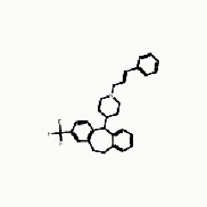 FC(F)(F)c1ccc2c(c1)CCc1ccccc1C2C1CCN(C/C=C/c2ccccc2)CC1